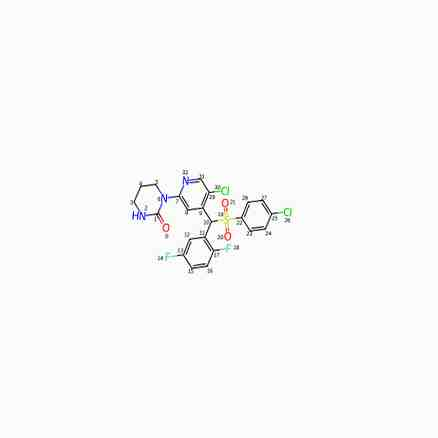 O=C1NCCCN1c1cc(C(c2cc(F)ccc2F)S(=O)(=O)c2ccc(Cl)cc2)c(Cl)cn1